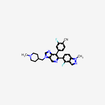 CN1CCC(Cn2cnc3c(-c4ccc(C#N)c(F)c4)c(-c4ccc5c(cnn5C)c4F)ncc32)CC1